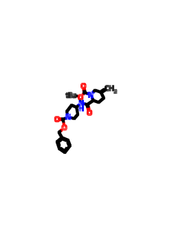 C=C1CCC(C(=O)NC2CCN(C(=O)OCc3ccccc3)CC2)N(C(=O)OC(C)(C)C)C1